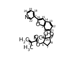 C=C(C)C(=O)OC1CCC(Oc2ccc3cc(-c4cccnc4)oc3c2)C1(C)C(F)(F)F